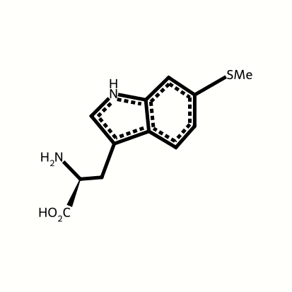 CSc1ccc2c(C[C@H](N)C(=O)O)c[nH]c2c1